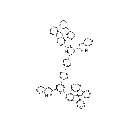 c1ccc2c(c1)-c1ccccc1C21c2ccccc2-c2ccc(-c3nc(-c4ccc(-c5ccc(-c6cc(-c7cnc8ccccc8c7)nc(-c7ccc8c(c7)C7(c9ccccc9-c9ccccc97)c7ccccc7-8)n6)cc5)cc4)cc(-c4cnc5ccccc5c4)n3)cc21